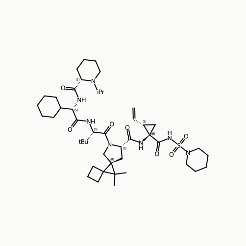 C=C[C@@H]1C[C@]1(NC(=O)[C@@H]1C[C@@]2(CN1C(=O)[C@@H](NC(=O)[C@@H](NC(=O)[C@@H]1CCCCN1C(C)C)C1CCCCC1)C(C)(C)C)C(C)(C)C21CCC1)C(=O)NS(=O)(=O)N1CCCCC1